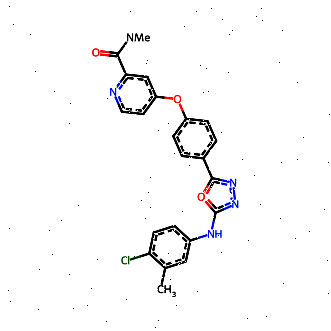 CNC(=O)c1cc(Oc2ccc(-c3nnc(Nc4ccc(Cl)c(C)c4)o3)cc2)ccn1